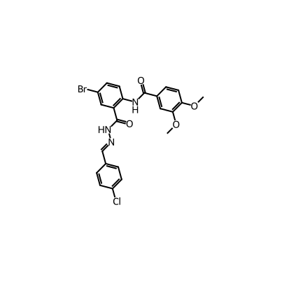 COc1ccc(C(=O)Nc2ccc(Br)cc2C(=O)N/N=C/c2ccc(Cl)cc2)cc1OC